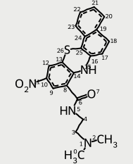 CN(C)CCNC(=O)c1cc([N+](=O)[O-])cc2c1Nc1ccc3ccccc3c1S2